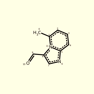 Cc1cccc2ncc(C=O)n12